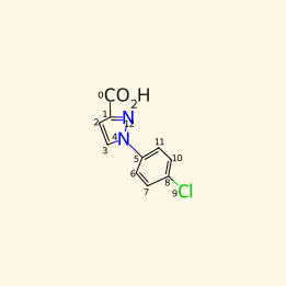 O=C(O)c1ccn(-c2ccc(Cl)cc2)n1